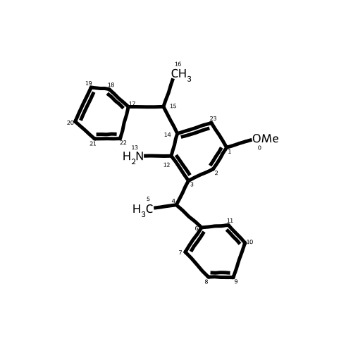 COc1cc(C(C)c2ccccc2)c(N)c(C(C)c2ccccc2)c1